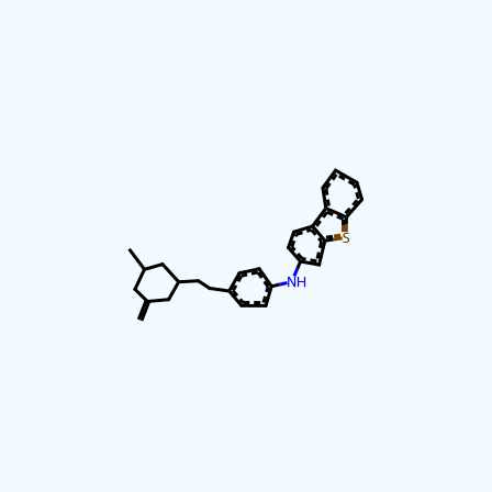 C=C1CC(C)CC(CCc2ccc(Nc3ccc4c(c3)sc3ccccc34)cc2)C1